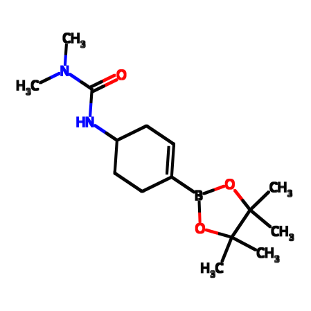 CN(C)C(=O)NC1CC=C(B2OC(C)(C)C(C)(C)O2)CC1